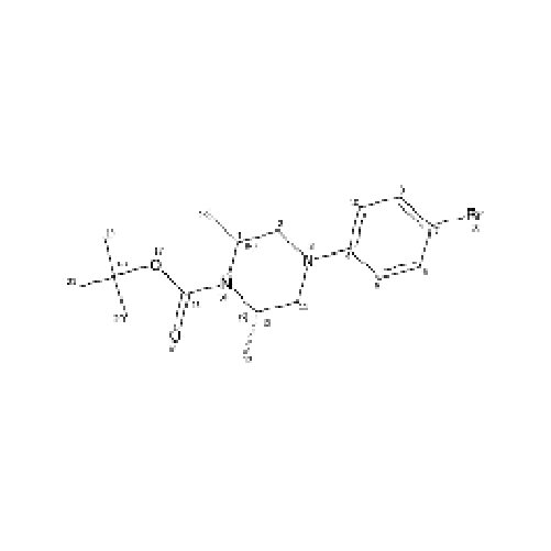 C[C@@H]1CN(c2ccc(Br)cc2)C[C@H](C)N1C(=O)OC(C)(C)C